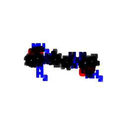 Cc1cc(-c2ccc(/N=N/c3cc(S(N)(=O)=O)c4ccccc4c3N)c(C)c2)ccc1/N=N/c1cc(S(N)(=O)=O)c2ccccc2c1N